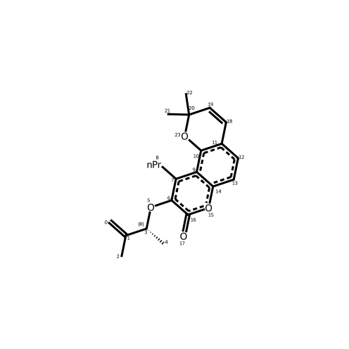 C=C(C)[C@@H](C)Oc1c(CCC)c2c3c(ccc2oc1=O)C=CC(C)(C)O3